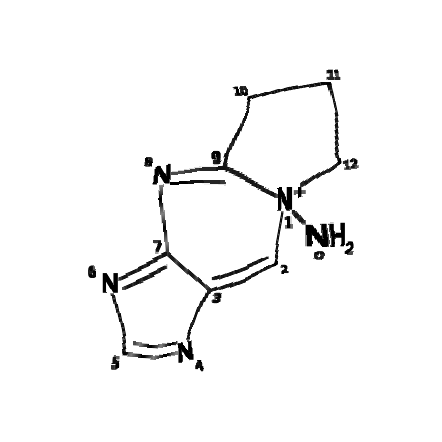 N[N+]12C=C3N=CN=C3N=C1CCC2